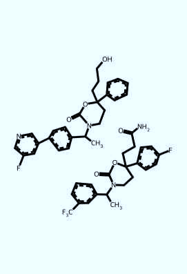 CC(c1ccc(-c2cncc(F)c2)cc1)N1CCC(CCCO)(c2ccccc2)OC1=O.CC(c1cccc(C(F)(F)F)c1)N1CCC(CCC(N)=O)(c2ccc(F)cc2)OC1=O